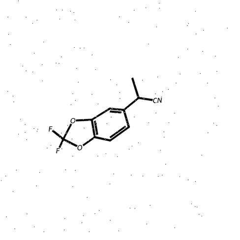 CC(C#N)c1ccc2c(c1)OC(F)(F)O2